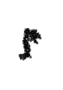 CC(C)N(C(=O)c1cc(F)ccc1Oc1cncnc1N1CC[C@@H](CN2CC3(CCN(S(=O)(=O)N4CCCN(C(=O)OC(C)(C)C)CC4)CC3)C2)C1)C(C)C